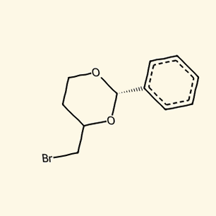 BrCC1CCO[C@H](c2ccccc2)O1